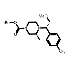 COC[C@H](c1ccc(C(F)(F)F)cc1)N1CCN(C(=O)OC(C)(C)C)C[C@@H]1C